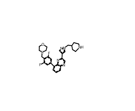 Fc1cc(-c2cccc3ncc(-c4cnn(CC5CCNCC5)c4)nc23)cc(F)c1CN1CCOCC1